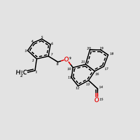 C=Cc1ccccc1COc1ccc(C=O)c2ccccc12